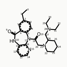 CCc1ccc2c(c1)C(=O)Nc1cccnc1N2C(=O)CN1CCCCC1CN(CC)CC